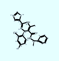 CC1=C(C(=O)N[C@H](C)c2ccccc2)[C@@H](c2ccc(F)cc2Cl)N=C(c2cncs2)N1